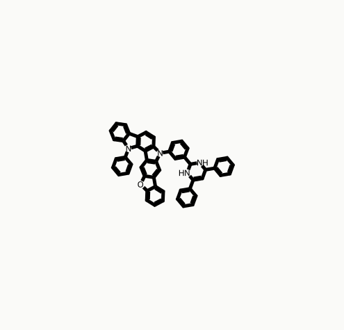 C1=C(c2ccccc2)NC(c2cccc(-n3c4cc5c(cc4c4c3ccc3c6ccccc6n(-c6ccccc6)c34)oc3ccccc35)c2)NC1c1ccccc1